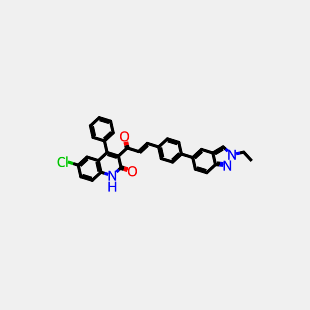 CCn1cc2cc(-c3ccc(/C=C/C(=O)c4c(-c5ccccc5)c5cc(Cl)ccc5[nH]c4=O)cc3)ccc2n1